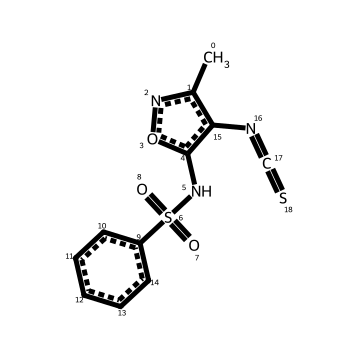 Cc1noc(NS(=O)(=O)c2ccccc2)c1N=C=S